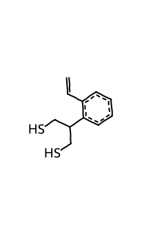 C=Cc1ccccc1C(CS)CS